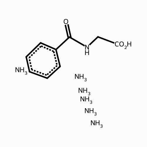 N.N.N.N.N.N.O=C(O)CNC(=O)c1ccccc1